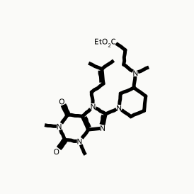 CCOC(=O)CCN(C)C1CCCN(c2nc3c(c(=O)n(C)c(=O)n3C)n2CC=C(C)C)C1